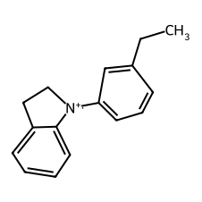 CCc1cccc([N+]2CCc3ccccc32)c1